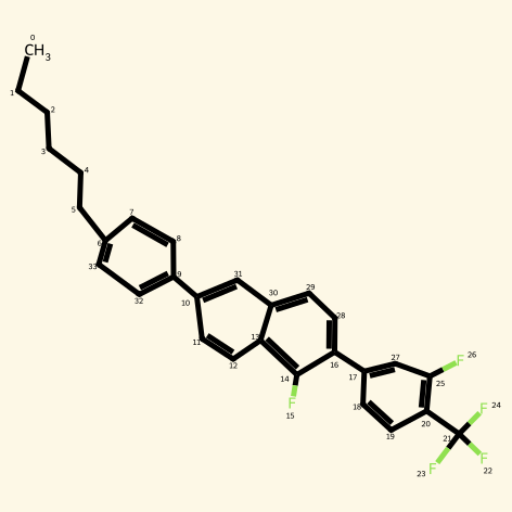 CCCCCCc1ccc(-c2ccc3c(F)c(-c4ccc(C(F)(F)F)c(F)c4)ccc3c2)cc1